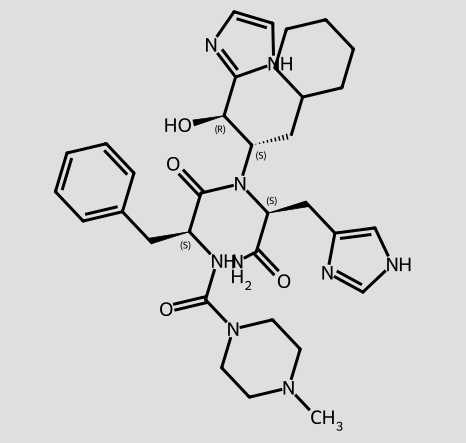 CN1CCN(C(=O)N[C@@H](Cc2ccccc2)C(=O)N([C@@H](Cc2c[nH]cn2)C(N)=O)[C@@H](CC2CCCCC2)[C@@H](O)c2ncc[nH]2)CC1